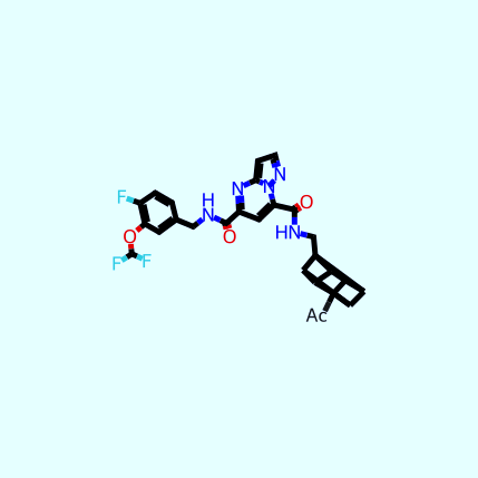 CC(=O)C12C3C4C1C1C2C3C41CNC(=O)c1cc(C(=O)NCc2ccc(F)c(OC(F)F)c2)nc2ccnn12